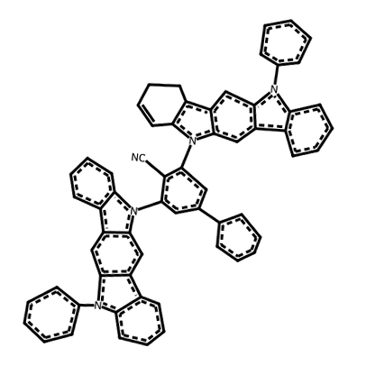 N#Cc1c(-n2c3c(c4cc5c(cc42)c2ccccc2n5-c2ccccc2)CCC=C3)cc(-c2ccccc2)cc1-n1c2ccccc2c2cc3c(cc21)c1ccccc1n3-c1ccccc1